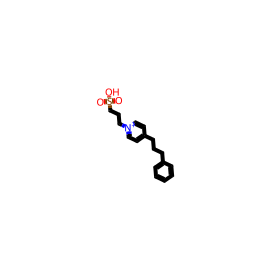 O=S(=O)(O)CCC[n+]1ccc(CCCc2ccccc2)cc1